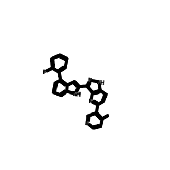 Cc1ccncc1-c1ccc2[nH]nc(-c3cc4c(-c5ccccc5F)cccc4[nH]3)c2n1